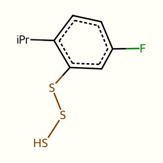 CC(C)c1ccc(F)cc1SSS